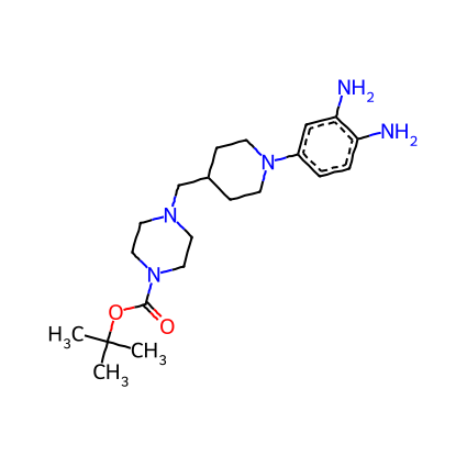 CC(C)(C)OC(=O)N1CCN(CC2CCN(c3ccc(N)c(N)c3)CC2)CC1